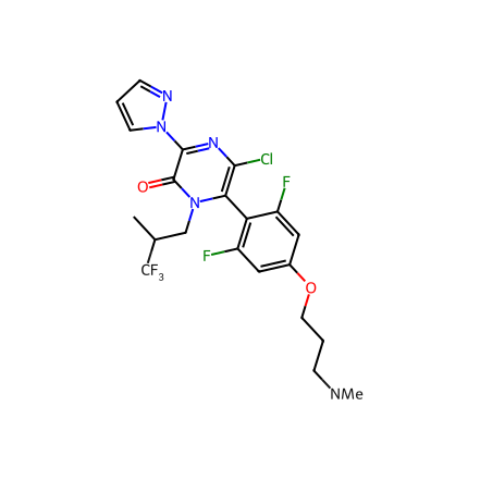 CNCCCOc1cc(F)c(-c2c(Cl)nc(-n3cccn3)c(=O)n2CC(C)C(F)(F)F)c(F)c1